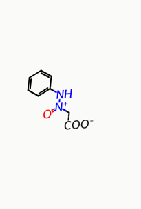 O=C([O-])C[N+](=O)Nc1ccccc1